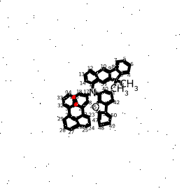 CC1(C)c2ccccc2-c2cc3cccc(N(c4cccc(-c5cccc6cccc(-c7ccccc7)c56)c4)c4cccc5c4oc4ccccc45)c3cc21